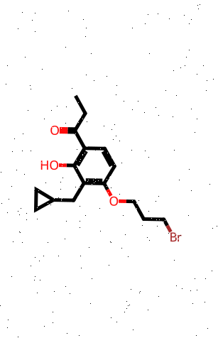 CCC(=O)c1ccc(OCCCBr)c(CC2CC2)c1O